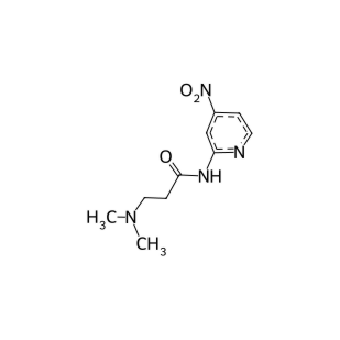 CN(C)CCC(=O)Nc1cc([N+](=O)[O-])ccn1